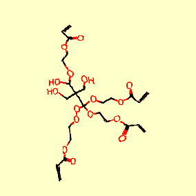 C=CC(=O)OCCOOC(OCCOC(=O)C=C)(OCCOC(=O)C=C)C(CO)(CO)C(O)OCCOC(=O)C=C